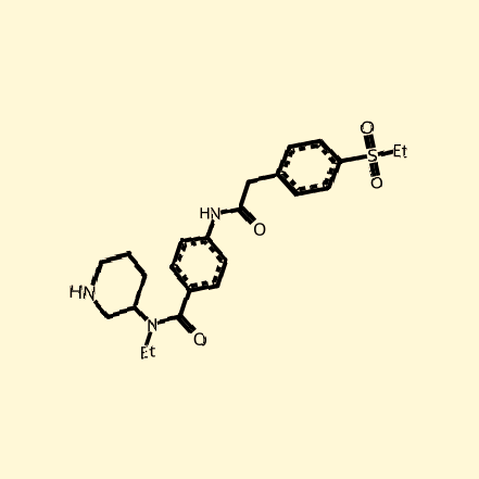 CCN(C(=O)c1ccc(NC(=O)Cc2ccc(S(=O)(=O)CC)cc2)cc1)C1CCCNC1